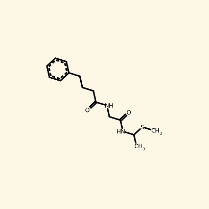 CSC(C)NC(=O)CNC(=O)CCCc1ccccc1